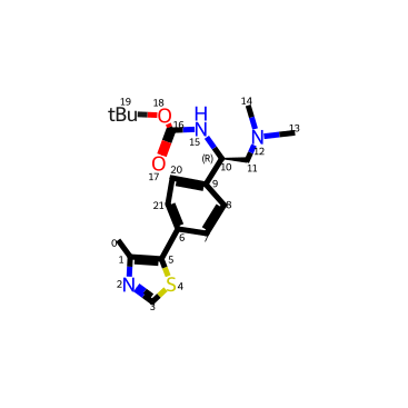 Cc1ncsc1-c1ccc([C@H](CN(C)C)NC(=O)OC(C)(C)C)cc1